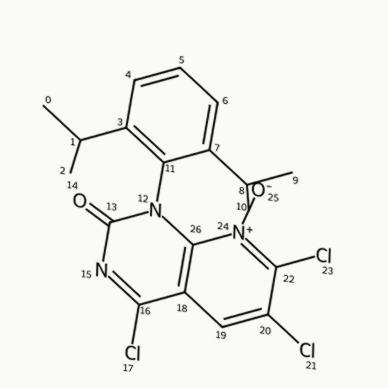 CC(C)c1cccc(C(C)C)c1-n1c(=O)nc(Cl)c2cc(Cl)c(Cl)[n+]([O-])c21